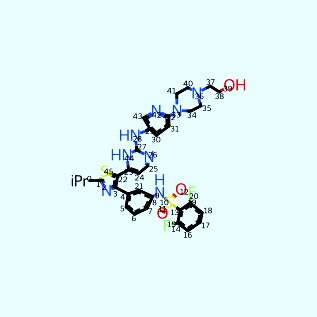 CC(C)c1nc(-c2cccc(NS(=O)(=O)c3c(F)cccc3F)c2)c(C2=CC=NC(Nc3ccc(N4CCN(CCO)CC4)nc3)N2)s1